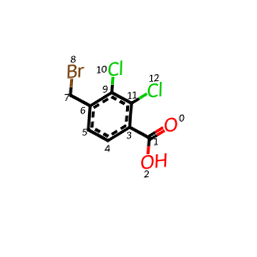 O=C(O)c1ccc(CBr)c(Cl)c1Cl